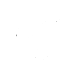 [Cr].c1ccc(P(c2ccccc2)c2ccccc2)cc1